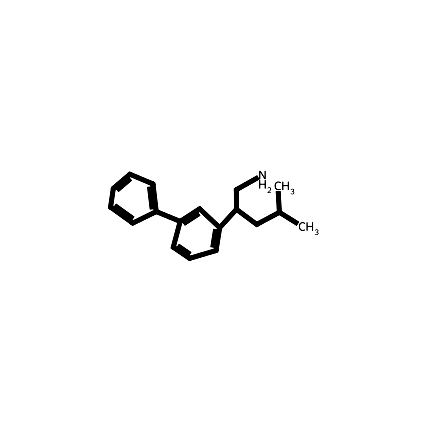 CC(C)CC(CN)c1cccc(-c2ccccc2)c1